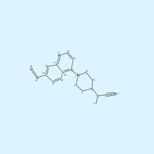 CC(C#N)C1CCN(c2ccnc3cc(N=O)ccc23)CC1